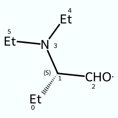 CC[C@@H]([C]=O)N(CC)CC